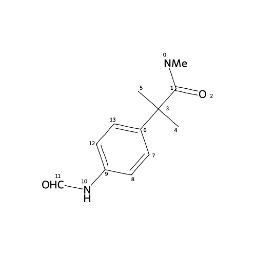 CNC(=O)C(C)(C)c1ccc(NC=O)cc1